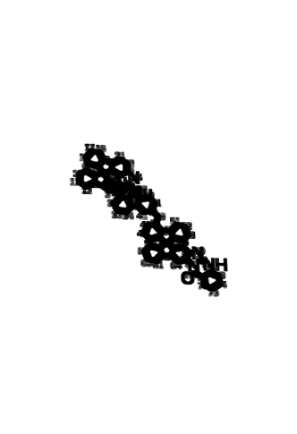 CC(C)(C)c1ccc2c(c1)C1(c3ccccc3-2)c2ccccc2-c2ccc3nc4n(c3c21)C(=O)c1ccccc1C4(C)c1ccc(Cc2cccc3c2-c2ccccc2C32c3ccccc3-c3cc4c(cc32)nc2[nH]c3ccccc3c(=O)n24)cc1